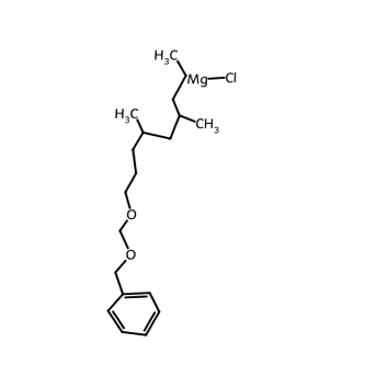 CC(CCCOCOCc1ccccc1)CC(C)C[CH](C)[Mg][Cl]